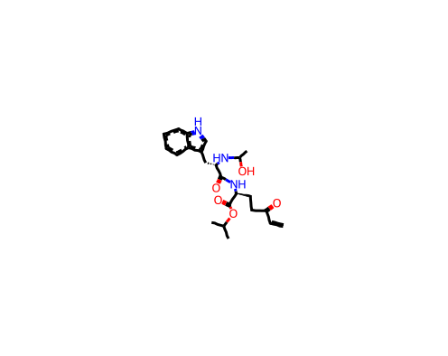 C=CC(=O)CC[C@H](NC(=O)[C@H](Cc1c[nH]c2ccccc12)NC(C)O)C(=O)OC(C)C